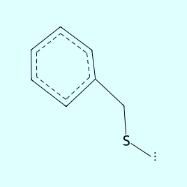 [C]SCc1ccccc1